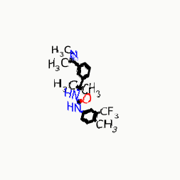 C/N=C(\C)c1cccc(C(C)(C)NC(=O)Nc2ccc(C)c(C(F)(F)F)c2)c1